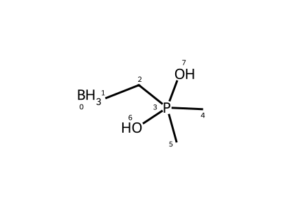 B.CCP(C)(C)(O)O